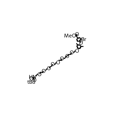 COC(=O)c1ccc(Oc2c(C)cc(OCCOCCOCCOCCOCCOCCOCCOCCOCCNC(=O)OC(C)(C)C)cc2C)c(Br)c1